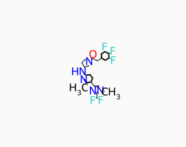 Cc1nc(N[C@H]2CCN(C(=O)Cc3cc(F)c(F)c(F)c3)C2)ccc1-c1cn(C)c(C(F)F)n1